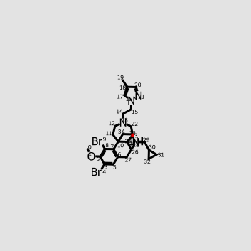 COc1c(Br)cc2c(c1Br)C13CCN(CCn4cc(C)cn4)CCC1(O)C(C2)N(CC1CC1)CC3